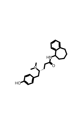 CN(C)[C@H](CCC(=O)NC1CCCCc2ccccc21)Cc1ccc(O)cc1